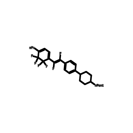 CCCCCC1CCC(c2ccc(/C(F)=C(\F)C3=CC=C(CCC)C(F)(F)C3(F)F)cc2)CC1